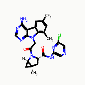 Cc1cc(C(F)(F)F)cc2c3c(N)ncnc3n(CC(=O)N3[C@H](C(=O)Nc4cncc(Cl)n4)C[C@@]4(C)C[C@@H]34)c12